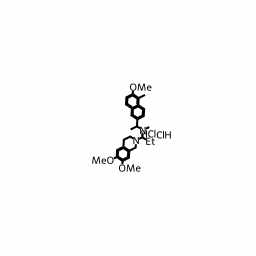 CCC(N1CCc2cc(OC)c(OC)cc2C1)N(C)C(C)c1ccc2c(C)c(OC)ccc2c1.Cl.Cl